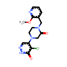 O=C1CN(c2cn[nH]c(=O)c2Cl)CCN1Cc1cccnc1OC(F)(F)F